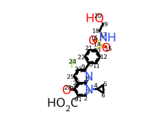 O=C(O)c1cn(C2CC2)c2nc(-c3ccc(S(=O)(=O)NCCO)cc3)c(F)cc2c1=O